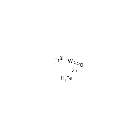 [BiH3].[O]=[W].[TeH2].[Zn]